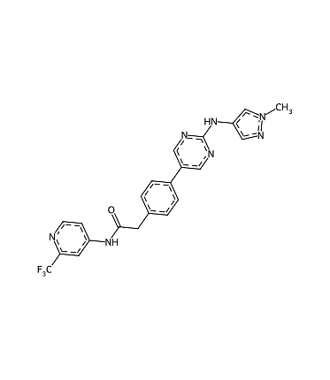 Cn1cc(Nc2ncc(-c3ccc(CC(=O)Nc4ccnc(C(F)(F)F)c4)cc3)cn2)cn1